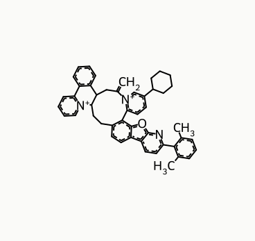 C=C1CC2c3ccccc3-c3cccc[n+]3C2CCc2ccc3c(oc4nc(-c5c(C)cccc5C)ccc43)c2-c2ccc(C3CCCCC3)c[n+]21